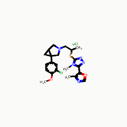 COc1ccc(C23CC2CN(CC(C)Sc2nnc(-c4ocnc4C)n2C)C3)cc1Cl.Cl